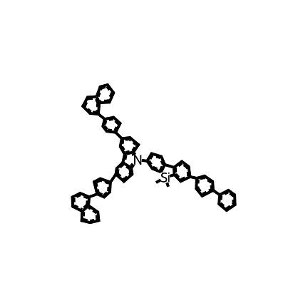 C[Si]1(C)c2cc(-c3ccc(-c4ccccc4)cc3)ccc2-c2ccc(-n3c4ccc(-c5ccc(-c6cccc7ccccc67)cc5)cc4c4cc(-c5ccc(-c6cccc7ccccc67)cc5)ccc43)cc21